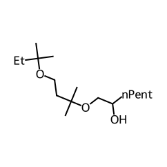 CCCCCC(O)COC(C)(C)CCOC(C)(C)CC